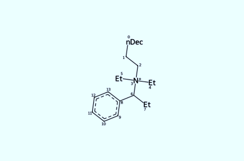 CCCCCCCCCCCC[N+](CC)(CC)C(CC)c1ccccc1